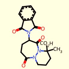 CC1(C(=O)O)CCCN2C(=O)CCC(N3C(=O)c4ccccc4C3=O)C(=O)N21